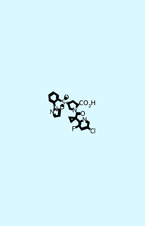 O=C(O)[C@@H]1C[C@@H](S(=O)(=O)c2ccccc2-n2cccn2)CN1C(=O)C1(c2ncc(Cl)cc2F)CC1